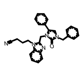 N#CCCCn1c(Cn2c(-c3ccccc3)cn(Cc3ccccc3)c2=O)nc2ccccc21